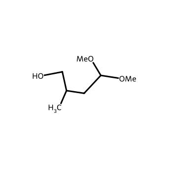 COC(CC(C)CO)OC